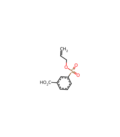 C=CCOS(=O)(=O)c1cccc(C(=O)O)c1